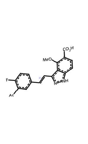 COc1c(C(=O)O)ccc2[nH]nc(/C=C/c3ccc(F)c(C(C)=O)c3)c12